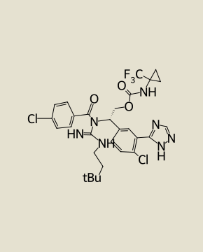 CC(C)(C)CCNC(=N)N(C(=O)c1ccc(Cl)cc1)[C@H](COC(=O)NC1(C(F)(F)F)CC1)c1ccc(Cl)c(-c2ncn[nH]2)c1